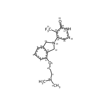 CN(C)CCOc1cccc2c1CN(c1cn[nH]c(=O)c1C(F)(F)F)C2